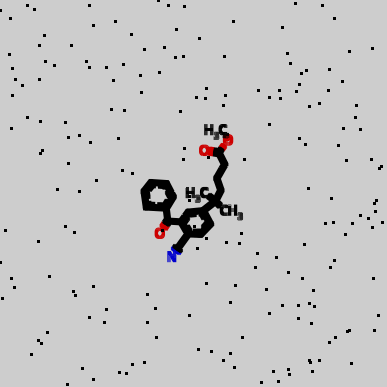 COC(=O)CCCC(C)(C)c1ccc(C#N)c(C(=O)c2ccccc2)c1